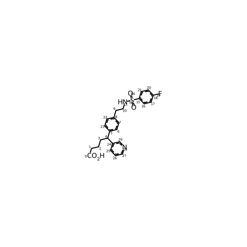 O=C(O)CCCC(c1ccc(CCNS(=O)(=O)c2ccc(F)cc2)cc1)c1cccnc1